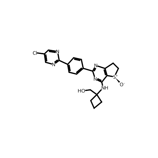 [O-][S@+]1CCc2nc(-c3ccc(-c4ncc(Cl)cn4)cc3)nc(NC3(CO)CCC3)c21